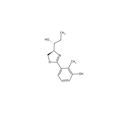 CC[C@@H](O)[C@@H]1COC(c2cccc(O)c2C)=N1